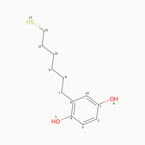 Oc1ccc(O)c(CCCCCCS)c1